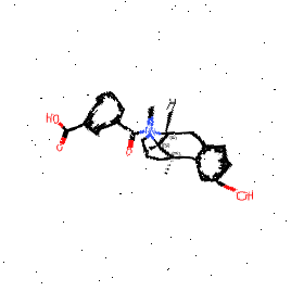 CN1CC[C@]2(C)c3cc(O)ccc3C[C@@H]1[C@H]2N(C)C(=O)c1cccc(C(=O)O)c1